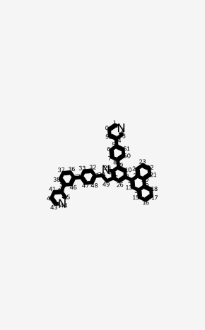 c1cncc(-c2ccc(-c3cc(-c4cc5ccccc5c5ccccc45)cc4c3N=C(c3ccc(-c5cccc(-c6cccnc6)c5)cc3)C4)cc2)c1